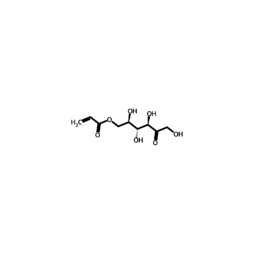 C=CC(=O)OC[C@@H](O)[C@@H](O)[C@@H](O)C(=O)CO